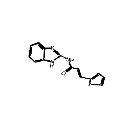 O=C(/C=C/c1cccs1)Nc1nc2ccccc2[nH]1